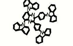 c1ccc2c(c1)c1ccccc1n2-c1ccc(-c2nc3c(-n4c5ccccc5c5ccccc54)ccc(-n4c5ccccc5c5ccccc54)c3nc2-c2ccc(-n3c4ccccc4c4ccccc43)cc2)cc1